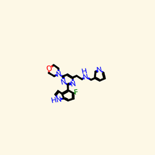 Fc1ccc2[nH]ccc2c1-c1nc(CCNCc2cccnc2)cc(N2CCOCC2)n1